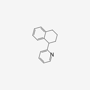 c1ccc(C2CCCc3ccccc32)nc1